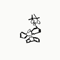 CC1(C)OB(c2cccc3c2Oc2ccccc2[Si]32c3ccccc3-c3ccccc32)OC1(C)C